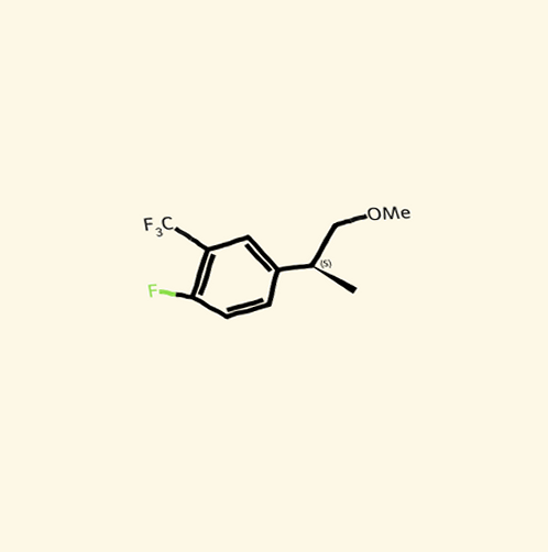 COC[C@@H](C)c1ccc(F)c(C(F)(F)F)c1